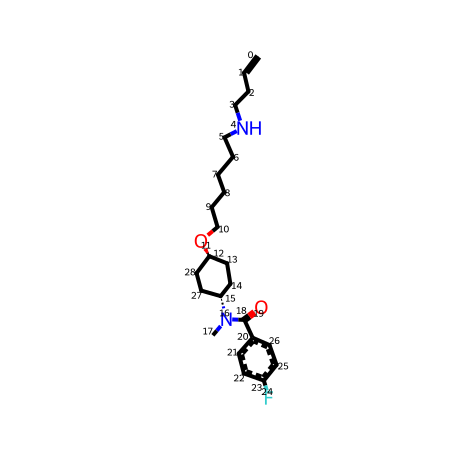 C=CCCNCCCCCCO[C@H]1CC[C@H](N(C)C(=O)c2ccc(F)cc2)CC1